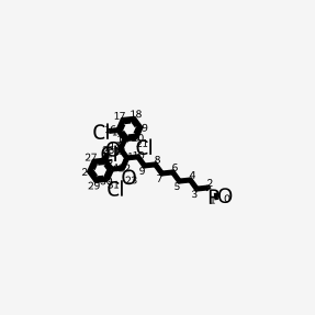 O=PCCCCCCCCCC(C(=O)c1c(Cl)cccc1Cl)C(=O)c1c(Cl)cccc1Cl